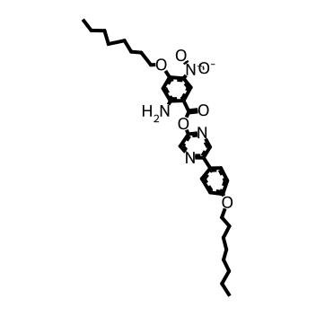 CCCCCCCCOc1ccc(-c2cnc(OC(=O)c3cc([N+](=O)[O-])c(OCCCCCCCC)cc3N)cn2)cc1